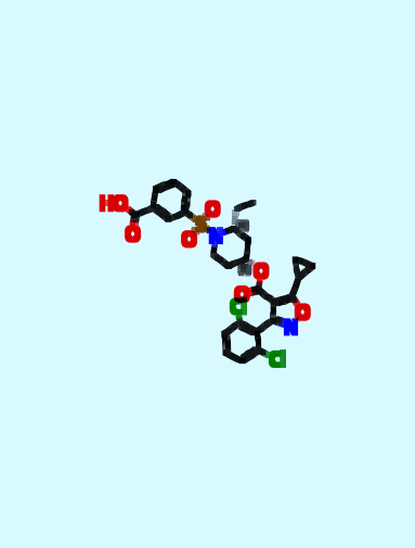 CC[C@@H]1C[C@H](OC(=O)c2c(-c3c(Cl)cccc3Cl)noc2C2CC2)CCN1S(=O)(=O)c1cccc(C(=O)O)c1